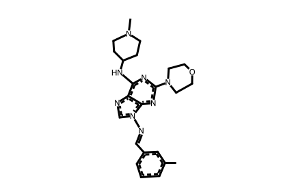 Cc1cccc(/C=N/n2cnc3c(NC4CCN(C)CC4)nc(N4CCOCC4)nc32)c1